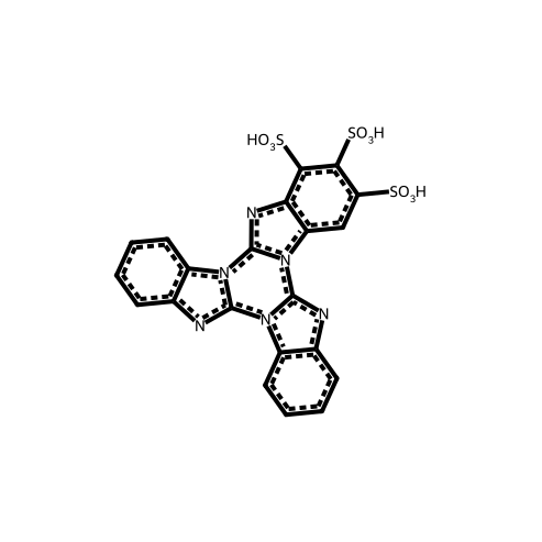 O=S(=O)(O)c1cc2c(nc3n4c5ccccc5nc4n4c5ccccc5nc4n23)c(S(=O)(=O)O)c1S(=O)(=O)O